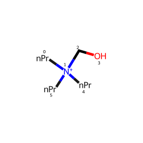 CCC[N+](CO)(CCC)CCC